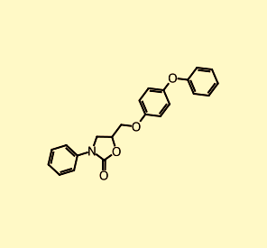 O=C1OC(COc2ccc(Oc3ccccc3)cc2)CN1c1ccccc1